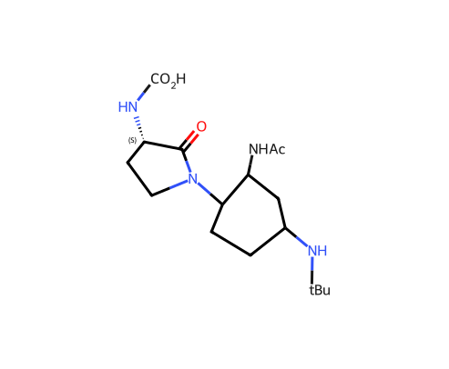 CC(=O)NC1CC(NC(C)(C)C)CCC1N1CC[C@H](NC(=O)O)C1=O